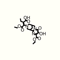 CCOC(=O)C(=C(CC)C(=O)O)N1CC2CC(C1)c1nc(C(=O)OCC)c(O)c(=O)n1C2